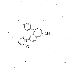 CN1CCN(c2ccc(F)cc2)c2cc(-n3ncccc3=O)ccc2C1